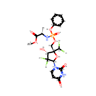 CC(C)OC(=O)[C@H](C)NP(=O)(OC[C@@]1(C(F)F)O[C@@H](n2ccc(=O)[nH]c2=O)C(F)(F)[C@@H]1O)Oc1ccccc1